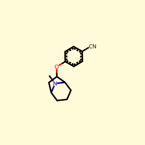 CN1C2CCCC1C(Oc1ccc(C#N)cc1)C2